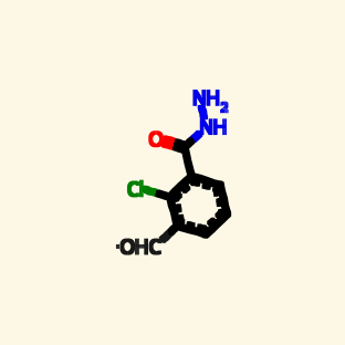 NNC(=O)c1cccc([C]=O)c1Cl